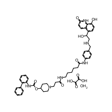 O.O=C(CCN1CCC(OC(=O)Nc2ccccc2-c2ccccc2)CC1)NCCCCCC(=O)Nc1ccc(CNCC(O)c2ccc(O)c3[nH]c(=O)ccc23)cc1.O=C(O)C(=O)O